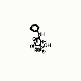 O=C(Nc1ccccc1)NC(P(=O)(O)O)P(=O)(O)O